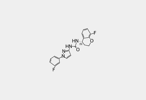 O=C(Nc1ccn(-c2cccc(F)c2)n1)N[C@H]1CCOc2c(F)cccc21